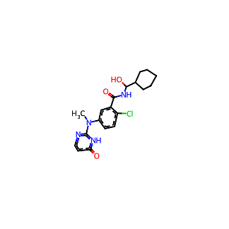 CN(c1ccc(Cl)c(C(=O)NC(O)C2CCCCC2)c1)c1nccc(=O)[nH]1